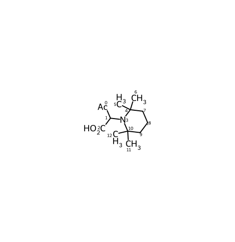 CC(=O)C(C(=O)O)N1C(C)(C)C[CH]CC1(C)C